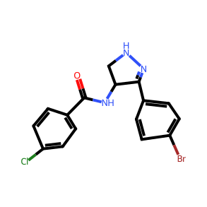 O=C(NC1CNN=C1c1ccc(Br)cc1)c1ccc(Cl)cc1